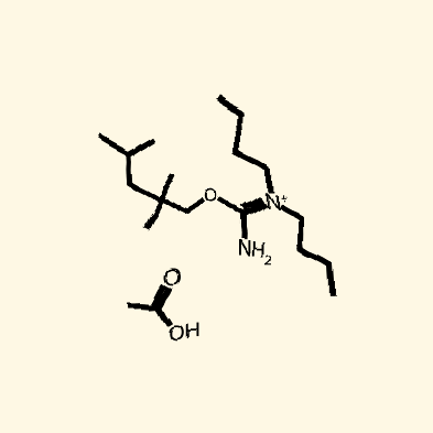 CC(=O)O.CCCC[N+](CCCC)=C(N)OCC(C)(C)CC(C)C